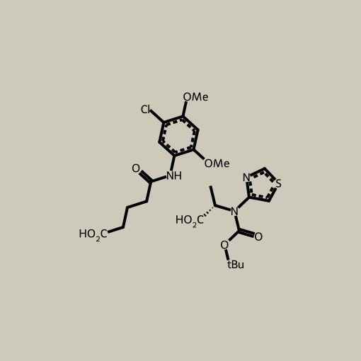 COc1cc(OC)c(NC(=O)CCCC(=O)O)cc1Cl.C[C@@H](C(=O)O)N(C(=O)OC(C)(C)C)c1cscn1